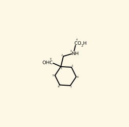 O=CC1(CNC(=O)O)CCCCC1